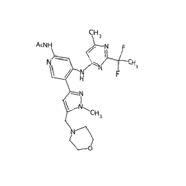 CC(=O)Nc1cc(Nc2cc(C)nc(C(C)(F)F)n2)c(-c2cc(CN3CCOCC3)n(C)n2)cn1